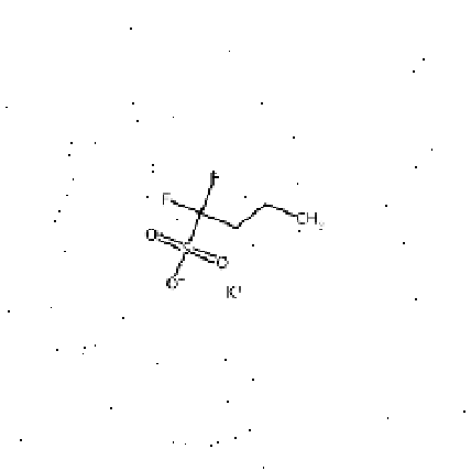 CCCC(F)(F)S(=O)(=O)[O-].[K+]